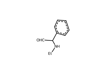 CCNC(C=O)c1ccccc1